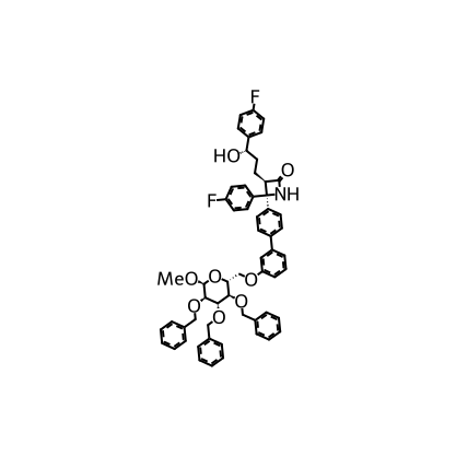 CO[C@H]1O[C@H](COc2cccc(-c3ccc([C@@]4(c5ccc(F)cc5)NC(=O)[C@@H]4CC[C@H](O)c4ccc(F)cc4)cc3)c2)[C@@H](OCc2ccccc2)[C@H](OCc2ccccc2)[C@H]1OCc1ccccc1